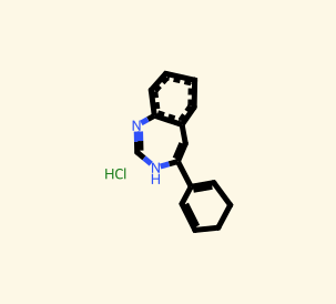 C1=CC(C2=Cc3ccccc3N=CN2)=CCC1.Cl